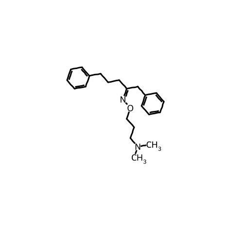 CN(C)CCCON=C(CCCc1ccccc1)Cc1ccccc1